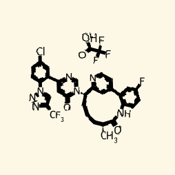 C[C@@H]1CCC[C@H](n2cnc(-c3cc(Cl)ccc3-n3cc(C(F)(F)F)nn3)cc2=O)c2cc(ccn2)-c2cc(F)ccc2NC1=O.O=C(O)C(F)(F)F